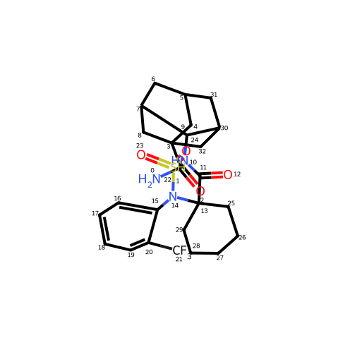 NC(=O)C12CC3CC(C1)C(NC(=O)C1(N(c4ccccc4C(F)(F)F)[SH](=O)=O)CCCCC1)C(C3)C2